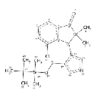 CC1(C)C(=O)c2cccc(Cl)c2C1n1cncc1CO[Si](C)(C)C(C)(C)C